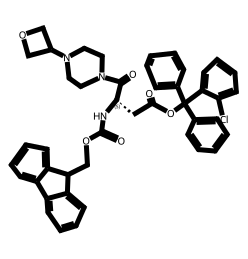 O=C(C[C@H](NC(=O)OCC1c2ccccc2-c2ccccc21)C(=O)N1CCN(C2COC2)CC1)OC(c1ccccc1)(c1ccccc1)c1ccccc1Cl